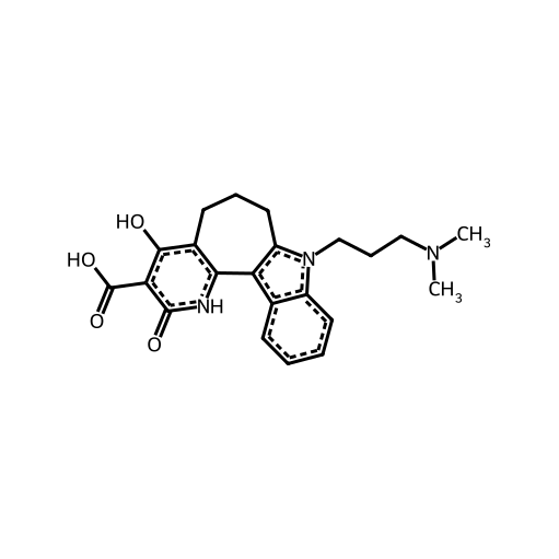 CN(C)CCCn1c2c(c3ccccc31)-c1[nH]c(=O)c(C(=O)O)c(O)c1CCC2